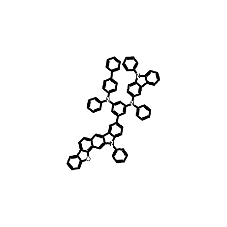 c1ccc(-c2ccc(N(c3ccccc3)c3cc(-c4ccc5c(c4)c4cc6ccc7c8ccccc8oc7c6cc4n5-c4ccccc4)cc(N(c4ccccc4)c4ccc5c(c4)c4ccccc4n5-c4ccccc4)c3)cc2)cc1